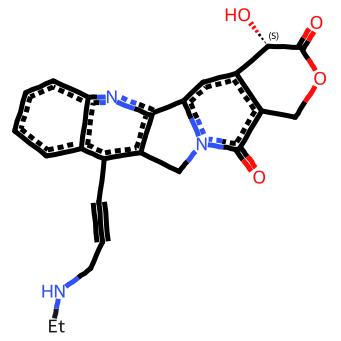 CCNCC#Cc1c2c(nc3ccccc13)-c1cc3c(c(=O)n1C2)COC(=O)[C@H]3O